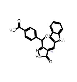 CC(C1=NNC(=O)/C1=C/c1cc2ccccc2[nH]1)c1ccc(C(=O)O)cc1